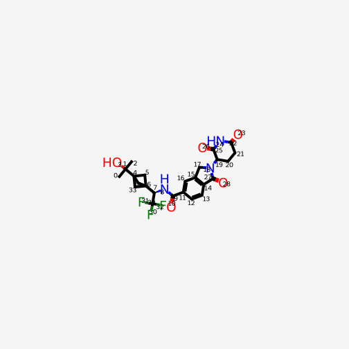 CC(C)(O)C12CC([C@@H](NC(=O)c3ccc4c(c3)CN(C3CCC(=O)NC3=O)C4=O)C(F)(F)F)(C1)C2